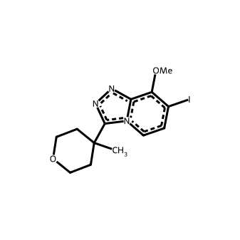 COc1c(I)ccn2c(C3(C)CCOCC3)nnc12